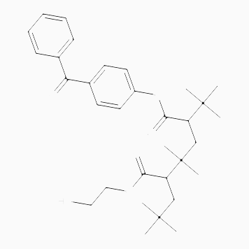 CC(C)(C)CC(C(=O)OCCO)C(C)(C)CC(C(=O)Oc1ccc(C(=O)c2ccccc2)cc1)C(C)(C)C